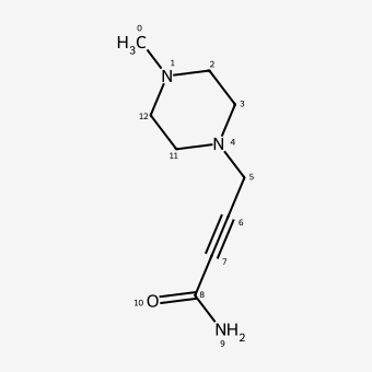 CN1CCN(CC#CC(N)=O)CC1